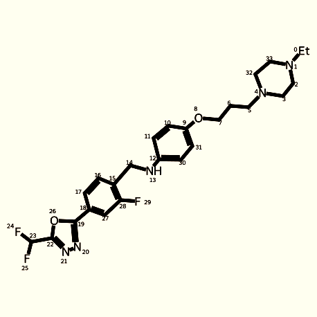 CCN1CCN(CCCOc2ccc(NCc3ccc(-c4nnc(C(F)F)o4)cc3F)cc2)CC1